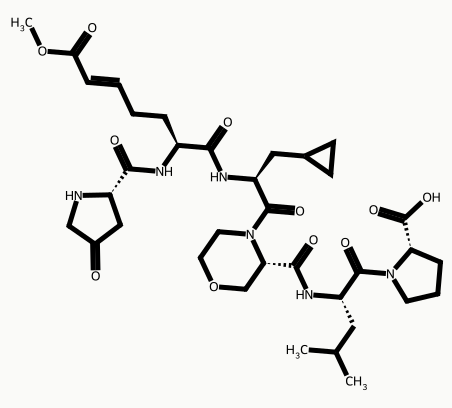 COC(=O)/C=C/CC[C@H](NC(=O)[C@@H]1CC(=O)CN1)C(=O)N[C@@H](CC1CC1)C(=O)N1CCOC[C@H]1C(=O)N[C@@H](CC(C)C)C(=O)N1CCC[C@H]1C(=O)O